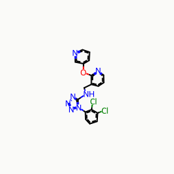 Clc1cccc(-n2nnnc2NCc2cccnc2Oc2cccnc2)c1Cl